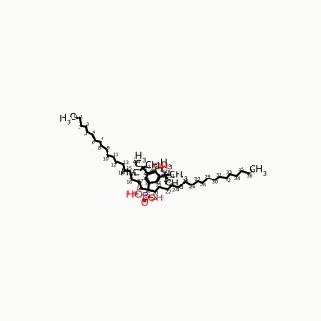 CCCCCCCCCCCCCCCCCCCC(CCCCCCCCCCCCCCCCCC)(c1cc(C(C)(C)C)c(O)c(C(C)(C)C)c1)P(=O)(O)O